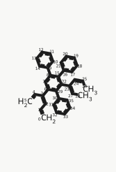 C=C/C=C(\C=C)c1cc(-c2ccccc2)c(-c2ccccc2)c(C(/C=C\C)=C/C)c1-c1ccccc1